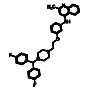 Cc1cc(Nc2cccc(OCCN3CCN(C(c4ccc(F)cc4)c4ccc(F)cc4)CC3)c2)c2ccccc2n1